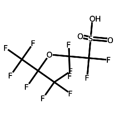 O=S(=O)(O)C(F)(F)C(F)(F)OC(F)(C(F)(F)F)C(F)(F)F